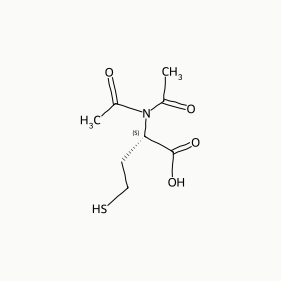 CC(=O)N(C(C)=O)[C@@H](CCS)C(=O)O